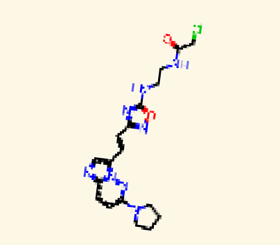 O=C(CCl)NCCNc1nc(/C=C/c2cnc3ccc(N4CCCC4)nn23)no1